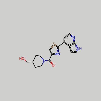 O=C(c1csc(-c2ccnc3[nH]ccc23)n1)N1CCC(CO)CC1